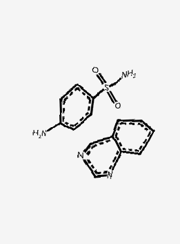 Nc1ccc(S(N)(=O)=O)cc1.c1ccc2ncncc2c1